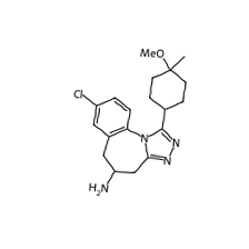 COC1(C)CCC(c2nnc3n2-c2ccc(Cl)cc2CC(N)C3)CC1